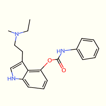 CCN(C)CCc1c[nH]c2cccc(OC(=O)Nc3ccccc3)c12